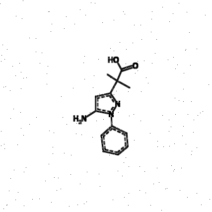 CC(C)(C(=O)O)c1cc(N)n(-c2ccccc2)n1